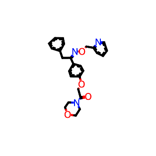 O=C(COc1ccc(/C(Cc2ccccc2)=N\OCc2ccccn2)cc1)N1CCOCC1